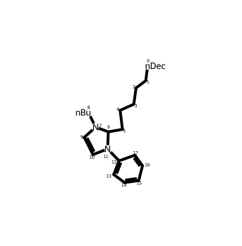 CCCCCCCCCCCCCCCC1N(CCCC)C=CN1c1ccccc1